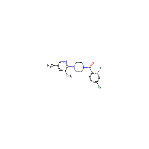 Cc1cnc(N2CCN(C(=O)c3ccc(Br)cc3F)CC2)c(C)c1